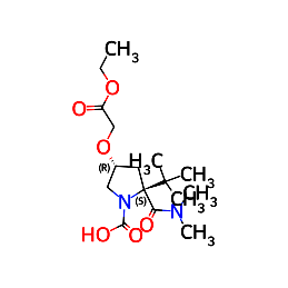 CCOC(=O)CO[C@H]1CN(C(=O)O)[C@](C(=O)N(C)C)(C(C)(C)C)C1